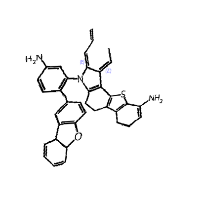 C=C/C=c1\c(=C/C)c2c(n1-c1cc(N)ccc1-c1ccc3c(c1)C1C=CC=CC1O3)CCc1c-2sc2c1CCC=C2N